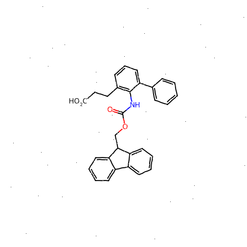 O=C(O)CCc1cccc(-c2ccccc2)c1NC(=O)OCC1c2ccccc2-c2ccccc21